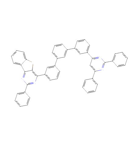 c1ccc(-c2cc(-c3cccc(-c4cccc(-c5cccc(-c6nc(-c7ccccc7)nc7c6sc6ccccc67)c5)c4)c3)nc(-c3ccccc3)n2)cc1